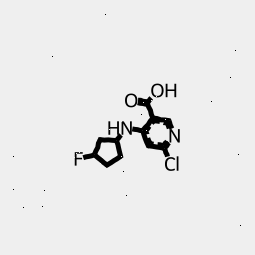 O=C(O)c1cnc(Cl)cc1NC1CCC(F)C1